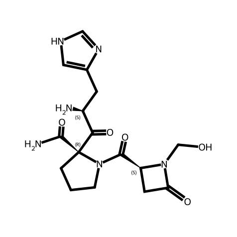 NC(=O)[C@]1(C(=O)[C@@H](N)Cc2c[nH]cn2)CCCN1C(=O)[C@@H]1CC(=O)N1CO